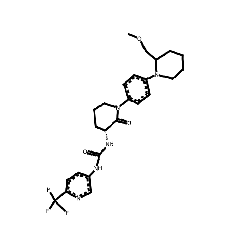 COCC1CCCCN1c1ccc(N2CCC[C@@H](NC(=O)Nc3ccc(C(F)(F)F)nc3)C2=O)cc1